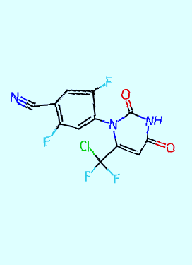 N#Cc1cc(F)c(-n2c(C(F)(F)Cl)cc(=O)[nH]c2=O)cc1F